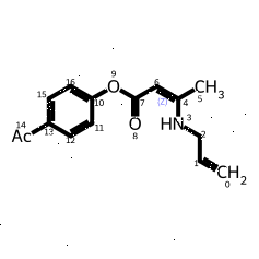 C=CCN/C(C)=C\C(=O)Oc1ccc(C(C)=O)cc1